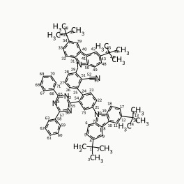 CC(C)(C)c1ccc2c(c1)c1cc(C(C)(C)C)ccc1n2-c1ccc(-c2cccc(-n3c4ccc(C(C)(C)C)cc4c4cc(C(C)(C)C)ccc43)c2C#N)c(-c2nc(-c3ccccc3)nc(-c3ccccc3)n2)c1